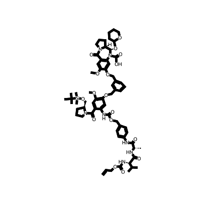 C=CCOC(=O)N[C@H](C(=O)N[C@@H](C)C(=O)Nc1ccc(COC(=O)Nc2cc(OCc3cccc(COc4cc5c(cc4OC)C(=O)N4CCC[C@H]4[C@H](OC4CCCCO4)N5C(=O)O)c3)c(OC)cc2C(=O)N2CCC[C@H]2CO[Si](C)(C)C(C)(C)C)cc1)C(C)C